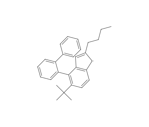 CCCCC1=Cc2c(ccc(C(C)(C)C)c2-c2ccccc2-c2ccccc2)[CH]1